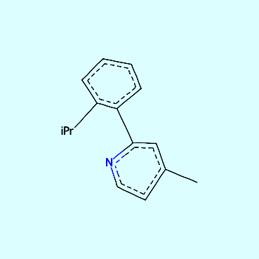 Cc1ccnc(-c2ccccc2C(C)C)c1